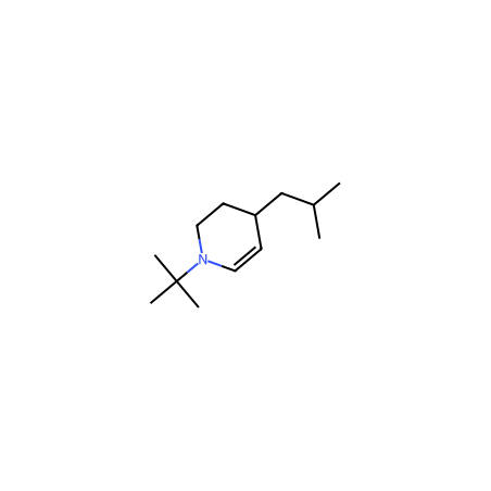 CC(C)CC1C=CN(C(C)(C)C)CC1